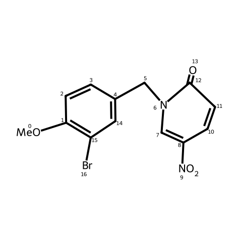 COc1ccc(Cn2cc([N+](=O)[O-])ccc2=O)cc1Br